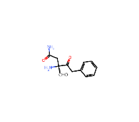 NC(=O)CC(N)([C]=O)C(=O)Cc1ccccc1